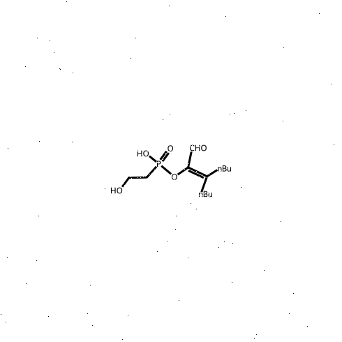 CCCCC(CCCC)=C(C=O)OP(=O)(O)CCO